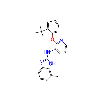 Cc1cccc2nc(Nc3cccnc3Oc3ccccc3C(C)(C)C)[nH]c12